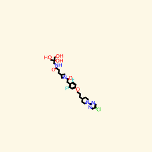 O=C(CCC1CN(C(=O)Cc2c(F)cc(OCCCC3CCN(c4ncc(Cl)cn4)CC3)cc2F)C1)NCC(O)(CO)CO